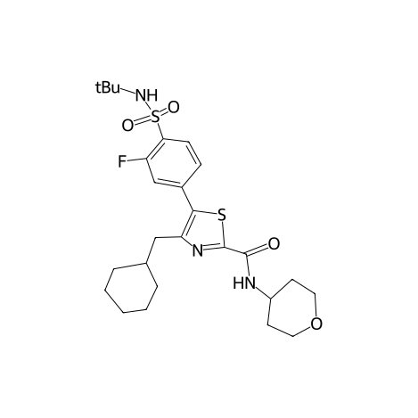 CC(C)(C)NS(=O)(=O)c1ccc(-c2sc(C(=O)NC3CCOCC3)nc2CC2CCCCC2)cc1F